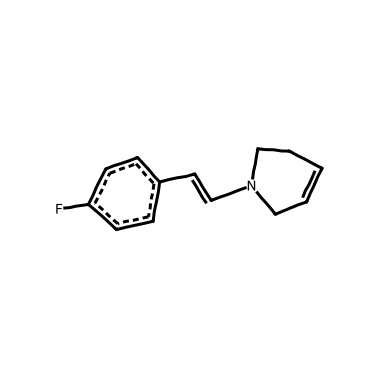 Fc1ccc(C=CN2CC=CCC2)cc1